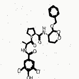 C[C@H](NC(=O)c1cc(Cl)c(O)c(Cl)c1)C(=O)N1CCC[C@H]1C(=O)N[C@H]1CCOOC1OCc1ccccc1